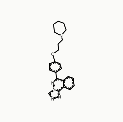 c1ccc2c(c1)c(-c1ccc(OCCCN3CCCCC3)cc1)nn1cnnc21